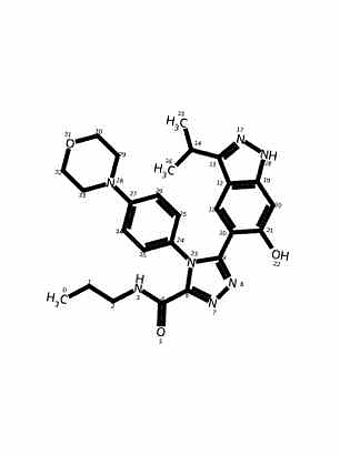 CCCNC(=O)c1nnc(-c2cc3c(C(C)C)n[nH]c3cc2O)n1-c1ccc(N2CCOCC2)cc1